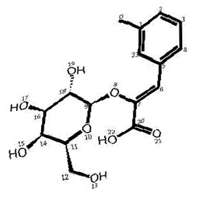 Cc1cccc(C=C(O[C@H]2O[C@@H](CO)[C@@H](O)[C@@H](O)[C@@H]2O)C(=O)O)c1